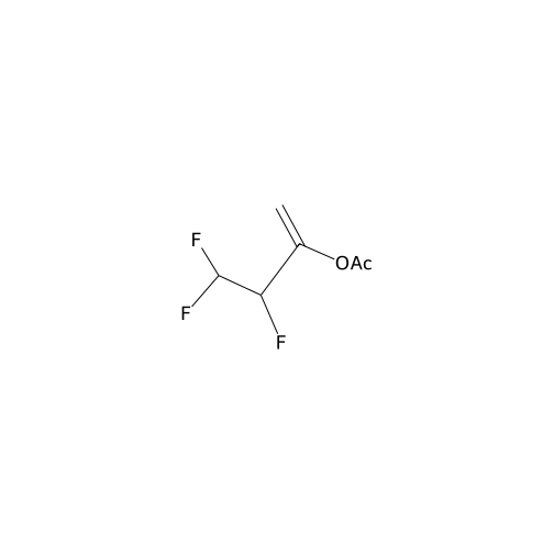 C=C(OC(C)=O)C(F)C(F)F